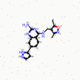 Cc1noc(C)c1CNc1nc(N)nc2cc(-c3ccn[nH]3)ccc12